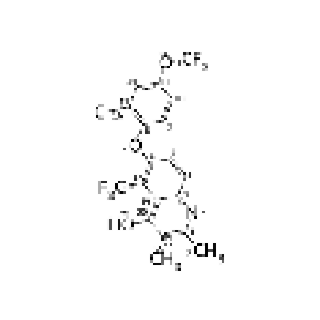 Cc1nc2ccc(Oc3ccc(OC(F)(F)F)cc3Cl)c(C(F)(F)F)c2c(O)c1C